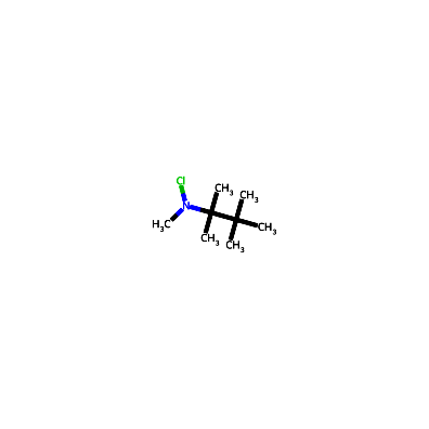 CN(Cl)C(C)(C)C(C)(C)C